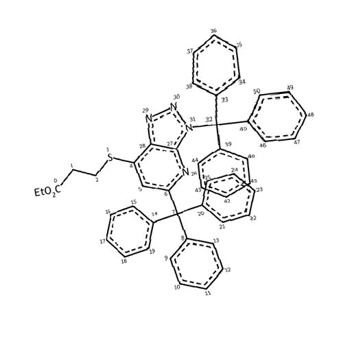 CCOC(=O)CCSc1cc(C(c2ccccc2)(c2ccccc2)c2ccccc2)nc2c1nnn2C(c1ccccc1)(c1ccccc1)c1ccccc1